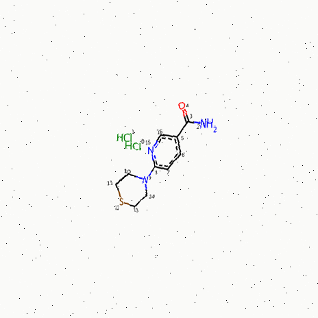 Cl.Cl.NC(=O)c1ccc(N2CCSCC2)nc1